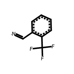 [N]=Cc1ccccc1C(F)(F)F